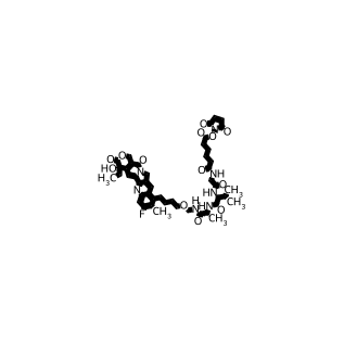 CC[C@@]1(O)C(=O)OCc2c1cc1n(c2=O)Cc2cc3c(CCCCOCNC(=O)[C@H](C)NC(=O)[C@@H](NC(=O)CNC(=O)CCCCC(=O)ON4C(=O)C=CC4=O)C(C)C)c(C)c(F)cc3nc2-1